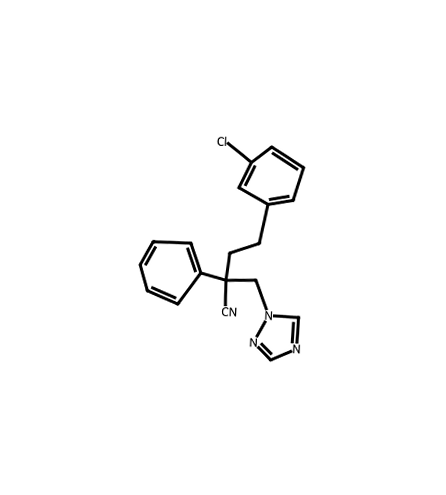 N#CC(CCc1cccc(Cl)c1)(Cn1cncn1)c1ccccc1